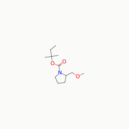 CCC(C)(C)OC(=O)N1CCCC1COC